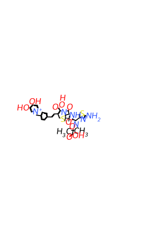 CC(C)(O/N=C(\C(=O)N[C@@H]1C(=O)N2C(C(=O)O)=C(/C=C/c3ccc(C[n+]4ccc(O)c(O)c4)cc3)CS[C@H]12)c1csc(N)n1)C(=O)O